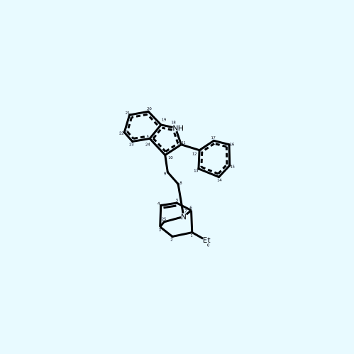 CCC1CC2C=CC1N(CCc1c(-c3ccccc3)[nH]c3ccccc13)C2